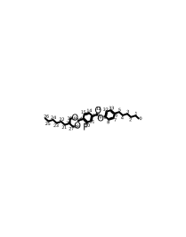 CCCCCCc1ccc(OC(=O)c2ccc(C3OCC(CCCCCC)CO3)c(F)c2)cc1